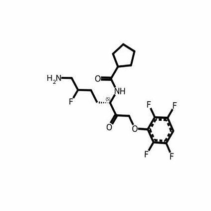 NCC(F)CC[C@H](NC(=O)C1CCCC1)C(=O)COc1c(F)c(F)cc(F)c1F